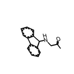 CC(=O)CNC1c2ccccc2-c2ccccc21